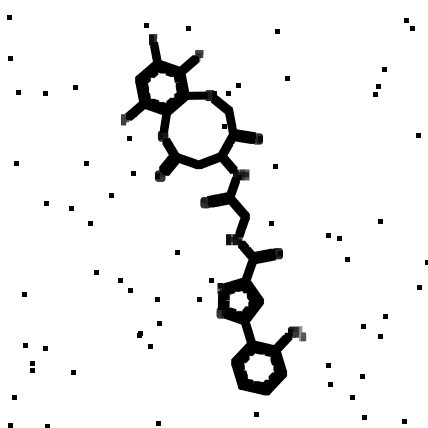 O=C(CNC(=O)c1cc(-c2ccccc2C(F)(F)F)on1)NC1CC(=O)Oc2c(F)cc(F)c(F)c2OCC1=O